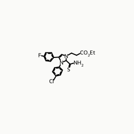 CCOC(=O)CCN1C=C(c2ccc(F)cc2)N(c2ccc(Cl)cc2)C1C(N)=S